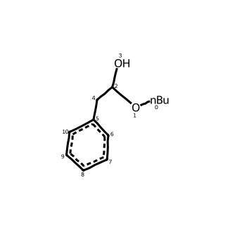 CCCCOC(O)Cc1ccccc1